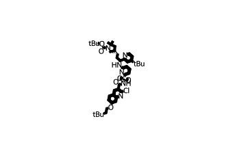 CC(C)(C)CCOc1ccc2cc(C(=O)NS(=O)(=O)c3cccc(NC(CC[C@@H]4CN(C(=O)OC(C)(C)C)C(C)(C)C4)c4cc(C(C)(C)C)ccn4)n3)c(Cl)nc2c1